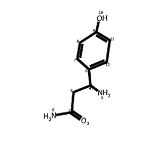 NC(=O)CC(N)c1ccc(O)cc1